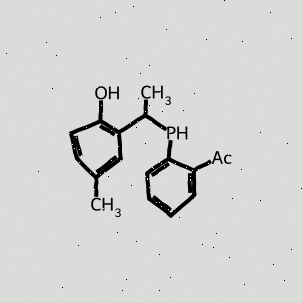 CC(=O)c1ccccc1PC(C)c1cc(C)ccc1O